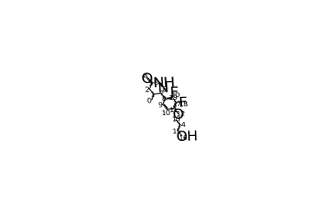 CC1CC(=O)NN=C1c1ccc(OCCCO)c(F)c1F